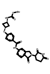 CC(C)(C)OC(=O)N[C@H]1C[C@@H](Oc2ccc(C(=O)Nc3ccc4c(c3)CN(C3CCC(=O)NC3=O)C4=O)cc2)C1